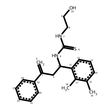 C=C(CC(NC(=S)NCCO)c1cccc(C)c1C)c1ccccc1